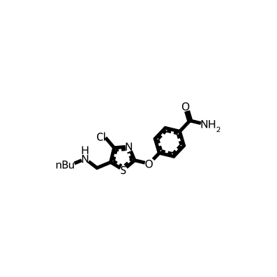 CCCCNCc1sc(Oc2ccc(C(N)=O)cc2)nc1Cl